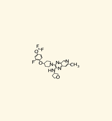 Cc1cc2nc(N[C@@H]3CCOC3)c(N3CCC(Oc4ccc(OC(F)F)cc4F)CC3)nc2cn1